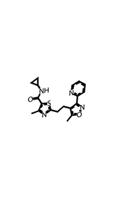 Cc1nc(CCc2c(-c3ccccn3)noc2C)sc1C(=O)NC1CC1